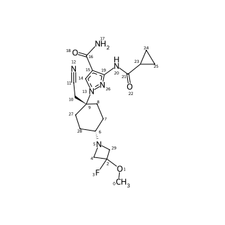 COC1(F)CN([C@H]2CC[C@@](CC#N)(n3cc(C(N)=O)c(NC(=O)C4CC4)n3)CC2)C1